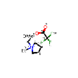 CC[N+]1(COC)CCCC1.O=C([O-])C(F)(F)F